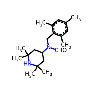 Cc1cc(C)c(CN(C=O)C2CC(C)(C)NC(C)(C)C2)c(C)c1